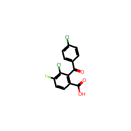 O=C(O)c1ccc(F)c(Cl)c1C(=O)c1ccc(Cl)cc1